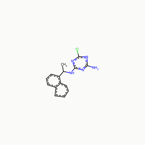 CC(Nc1nc(N)nc(Cl)n1)c1cccc2ccccc12